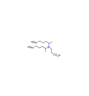 CCCCCCCCCCCCCC(C)N(CCC(=O)O)C(C)CCCCCCCCCCCCC